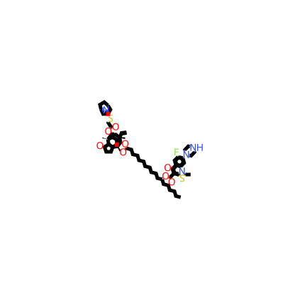 C=C[C@@]1(C)C[C@H](OC(=O)CSC2CC3CCC(C2)N3C)[C@@]2(C)C(C)CCC3(CCC(=O)C32)[C@H](C)[C@@H]1OC(=O)CCCCCCCCCCC(CCCCCC)OC(=O)c1c2n(c3cc(N4CCNCC4)c(F)cc3c1=O)C(C)S2